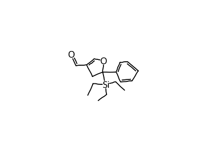 CC[Si](CC)(CC)C1(c2ccccc2)CC(C=O)=CO1